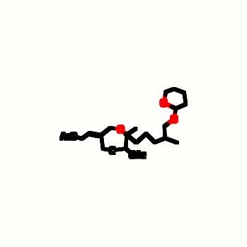 CC(=O)OC/C=C1\CCC(OC(C)=O)C(C)(CCCC(C)COC2CCCCO2)OC1